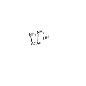 CC(N)=O.CC(N)=O.[LiH]